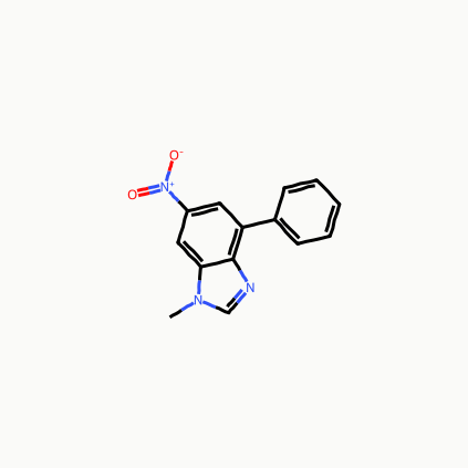 Cn1cnc2c(-c3ccccc3)cc([N+](=O)[O-])cc21